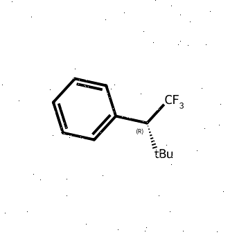 CC(C)(C)[C@H](c1ccccc1)C(F)(F)F